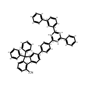 N#Cc1cccc2c1-c1ccc(-c3ccc(-c4nc(-c5ccccc5)nc(-c5cccc(-c6ccccc6)c5)n4)cc3)cc1C2(c1ccccc1)c1ccccc1